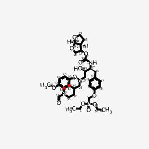 CCOP(=O)(COc1ccc(C[C@H](NC(=O)OC2CO[C@H]3OCC[C@@H]23)[C@H](O)CN(CC2CCN(C=O)CC2)Oc2ccc(OC)cc2)cc1)OCC